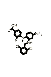 CN(C1=C(NCc2c(Cl)cccc2Cl)CC(N)C=C1)c1ccc(C(=O)O)cc1F